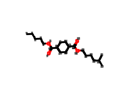 CCCCCOC(=O)C1CCC(C(=O)OCCCCC(C)C)CC1